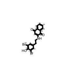 O=C1C=C(NCCc2cc(Br)c(O)c(Br)c2)C(=O)c2ccccc21